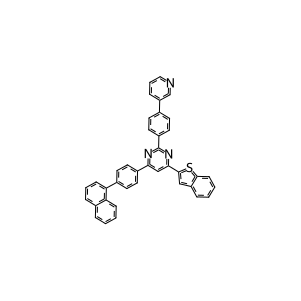 c1cncc(-c2ccc(-c3nc(-c4ccc(-c5cccc6ccccc56)cc4)cc(-c4cc5ccccc5s4)n3)cc2)c1